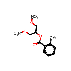 CC(=O)Oc1ccccc1C(=O)OC(CO[N+](=O)[O-])CO[N+](=O)[O-]